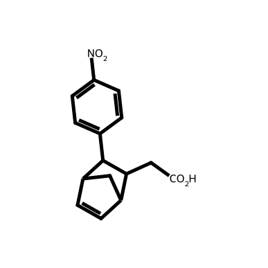 O=C(O)CC1C2C=CC(C2)C1c1ccc([N+](=O)[O-])cc1